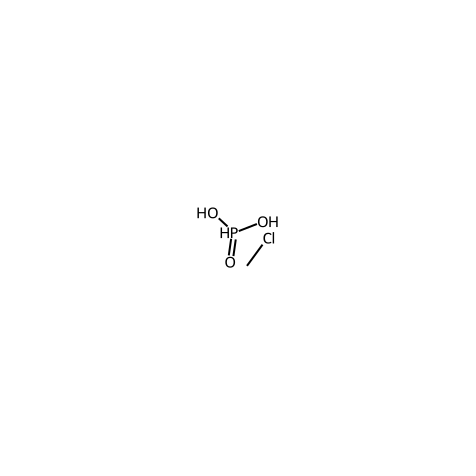 CCl.O=[PH](O)O